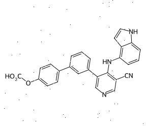 N#Cc1cncc(-c2cccc(-c3ccc(OC(=O)O)cc3)c2)c1Nc1cccc2[nH]ccc12